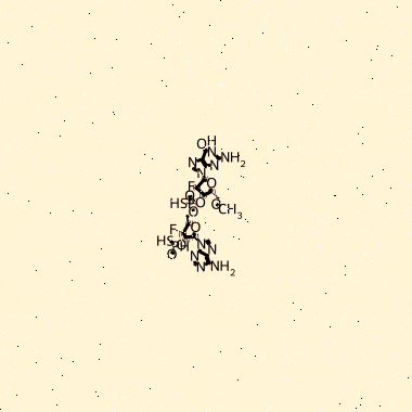 COC[C@H]1O[C@@H](n2cnc3c(=O)[nH]c(N)nc32)[C@H](F)[C@@H]1O[P@](=O)(S)OC[C@H]1O[C@@H](n2cnc3c(N)ncnc32)[C@H](O[PH](=O)S)[C@@H]1F